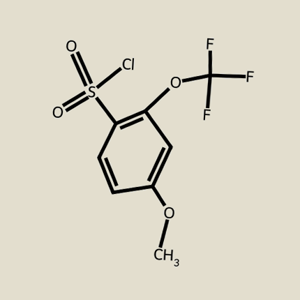 COc1ccc(S(=O)(=O)Cl)c(OC(F)(F)F)c1